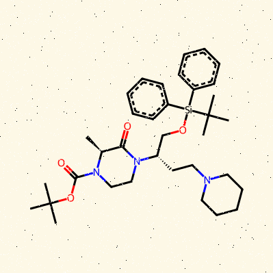 C[C@H]1C(=O)N([C@@H](CCN2CCCCC2)CO[Si](c2ccccc2)(c2ccccc2)C(C)(C)C)CCN1C(=O)OC(C)(C)C